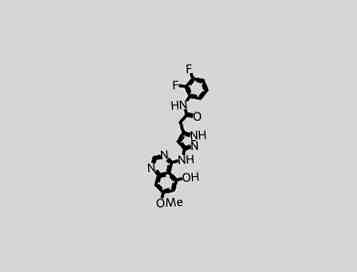 COc1cc(O)c2c(Nc3cc(CC(=O)Nc4cccc(F)c4F)[nH]n3)ncnc2c1